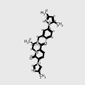 Cc1cn(-c2ccc3n(c2=O)C[C@@H](C)N(Cc2cccc(-n4nc(C)cc4C)c2)C3=O)cn1